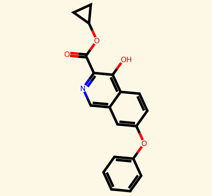 O=C(OC1CC1)c1ncc2cc(Oc3ccccc3)ccc2c1O